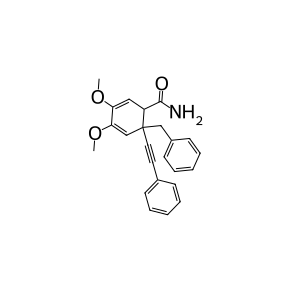 COC1=CC(C(N)=O)C(C#Cc2ccccc2)(Cc2ccccc2)C=C1OC